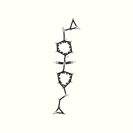 O=S(=O)(c1ccc(OCC2CO2)cc1)c1ccc(OC2CO2)cc1